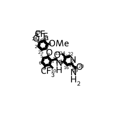 COc1c(Oc2ccc(C(F)(F)F)c(C)c2C(=O)Nc2cc(C(N)=O)ncc2C)ccc(OC(F)(F)F)c1F